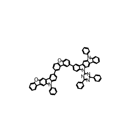 c1ccc(-c2nc(-c3ccccc3)nc(-n3c4ccc(-c5ccc6oc7ccc(-c8ccc9c(c8)c8cc%10oc%11ccccc%11c%10cc8n9-c8ccccc8)cc7c6c5)cc4c4cc5c(cc43)c3ccccc3n5-c3ccccc3)n2)cc1